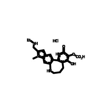 CCNCc1cc2cc3c(cc2n1C)NCCCc1c-3[nH]c(=O)c(OC(=O)O)c1O.Cl